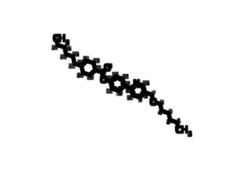 CCCCCCOCc1ccc(-c2ccc(OC(=O)C3CCC(CCCCCC)CC3)cc2)nc1